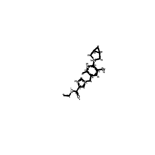 CCOC(=O)c1cn(Cc2cc(Br)c(N3CC4CC4C3)nc2C)cn1